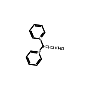 Cl.Cl.Cl.Cl.c1cc[n+](C[n+]2ccccc2)cc1